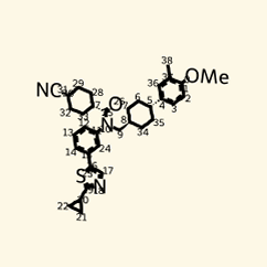 COc1ccc([C@H]2CC[C@H](CN(c3cccc(-c4cnc(C5CC5)s4)c3)C(=O)[C@H]3CC[C@H](C#N)CC3)CC2)cc1C